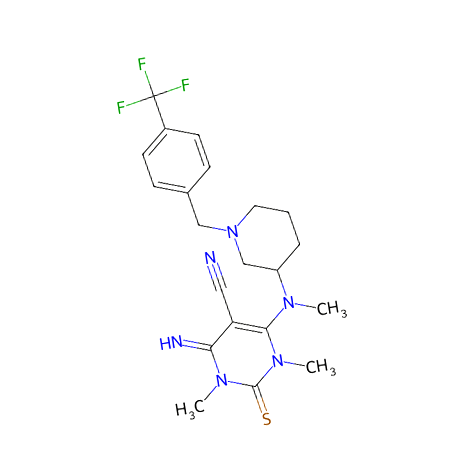 CN(c1c(C#N)c(=N)n(C)c(=S)n1C)C1CCCN(Cc2ccc(C(F)(F)F)cc2)C1